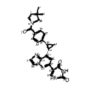 CC1(C)CCN(C(=O)c2ccc([C@H]3C[C@@H]3c3cc(-c4c[nH]c(=O)[nH]c4=O)nn4ccnc34)cc2)C1